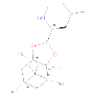 CN[C@@H](CC(C)C)B1O[C@@H]2C[C@@H]3C[C@@H](C3(C)C)[C@]2(C)O1